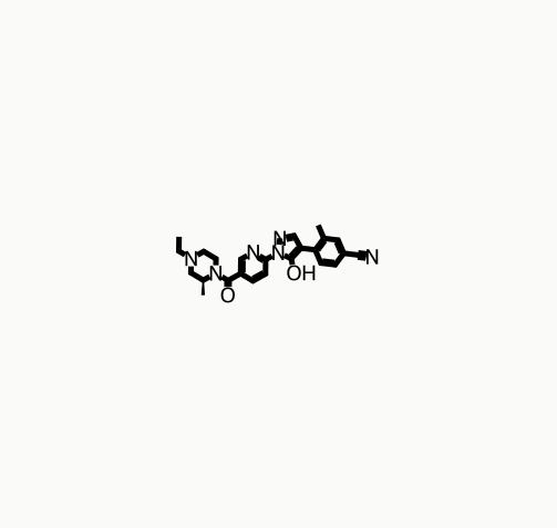 CCN1CCN(C(=O)c2ccc(-n3ncc(-c4ccc(C#N)cc4C)c3O)nc2)[C@@H](C)C1